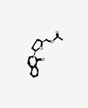 CC(=O)OC[C@@H]1CC[C@H](n2ccc3ccccc3c2=O)O1